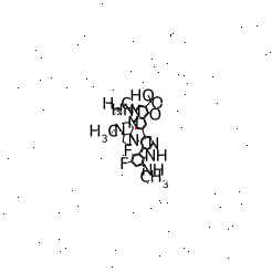 CNc1cc(F)c(F)c2c1[nH]c1ncc(-c3cnc4c(c3)c(=O)c(C(=O)O)cn4NC)c(N3CCC4C3CCCN4C)c12